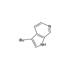 CCC(C)c1c[nH]c2cnccc12